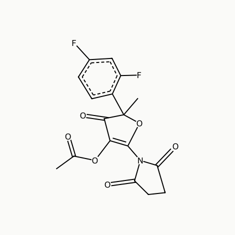 CC(=O)OC1=C(N2C(=O)CCC2=O)OC(C)(c2ccc(F)cc2F)C1=O